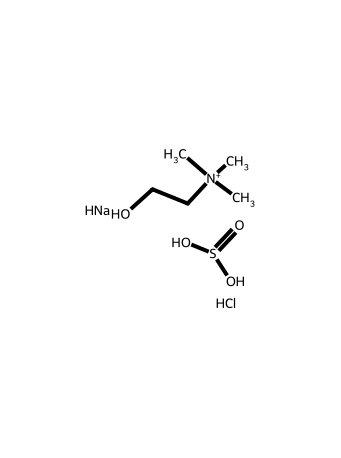 C[N+](C)(C)CCO.Cl.O=S(O)O.[NaH]